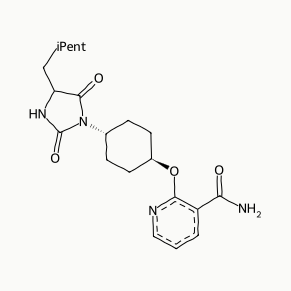 CCCC(C)CC1NC(=O)N([C@H]2CC[C@H](Oc3ncccc3C(N)=O)CC2)C1=O